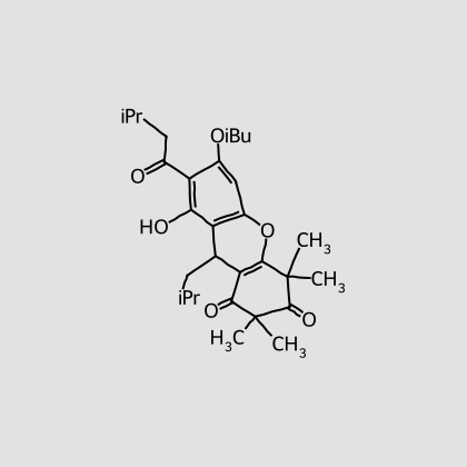 CC(C)COc1cc2c(c(O)c1C(=O)CC(C)C)C(CC(C)C)C1=C(O2)C(C)(C)C(=O)C(C)(C)C1=O